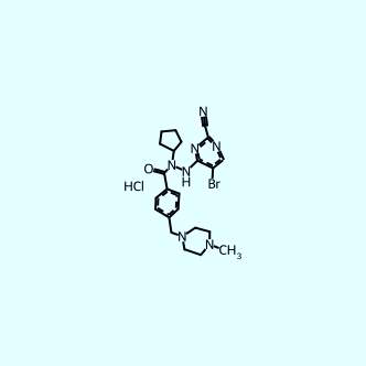 CN1CCN(Cc2ccc(C(=O)N(Nc3nc(C#N)ncc3Br)C3CCCC3)cc2)CC1.Cl